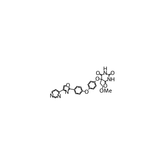 COCCC1(Oc2ccc(Oc3ccc(-c4nc(-c5ccncn5)co4)cc3)cc2)C(=O)NC(=O)NC1=O